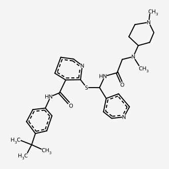 CN1CCC(N(C)CC(=O)NC(Sc2ncccc2C(=O)Nc2ccc(C(C)(C)C)cc2)c2ccncc2)CC1